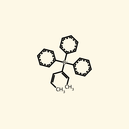 C/C=C\C(=C/C)[B-](c1ccccc1)(c1ccccc1)c1ccccc1